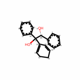 O[C@H](c1ccccc1)C(O)(C1=CCCC=C1)c1ccccc1